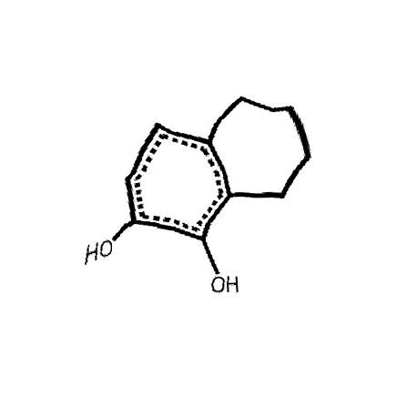 Oc1ccc2c(c1O)CCCC2